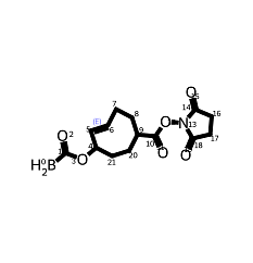 BC(=O)OC1/C=C/CCC(C(=O)ON2C(=O)CCC2=O)CC1